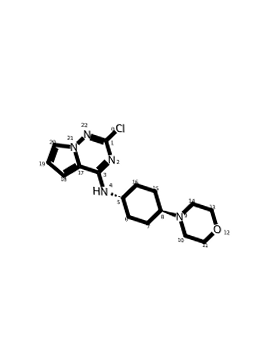 Clc1nc(N[C@H]2CC[C@H](N3CCOCC3)CC2)c2cccn2n1